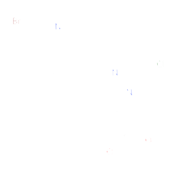 COC(=O)C1=NN(c2ccccc2Cl)C(c2ccc(Br)nc2)C1